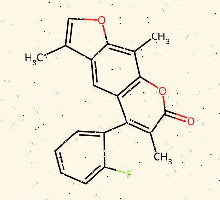 Cc1c(-c2ccccc2F)c2cc3c(C)coc3c(C)c2oc1=O